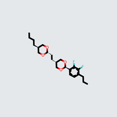 CCCC[C@H]1CO[C@H](CC[C@H]2CO[C@H](c3ccc(CCC)c(F)c3F)OC2)OC1